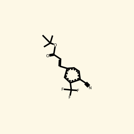 CC(C)(C)OC(=O)C=Cc1ccc(C#N)c(C(F)(F)F)c1